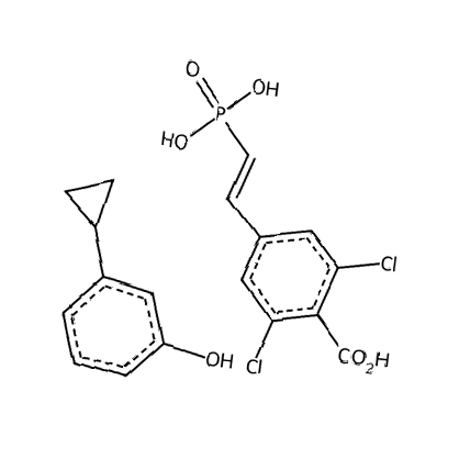 O=C(O)c1c(Cl)cc(C=CP(=O)(O)O)cc1Cl.Oc1cccc(C2CC2)c1